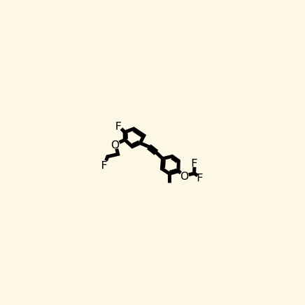 Cc1cc(C#Cc2ccc(F)c(OCCF)c2)ccc1OC(F)F